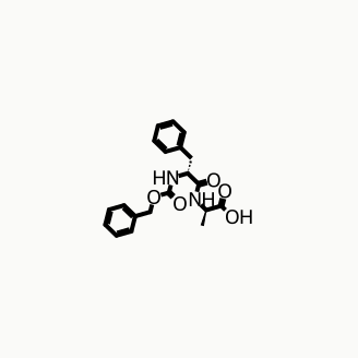 C[C@@H](NC(=O)[C@@H](Cc1ccccc1)NC(=O)OCc1ccccc1)C(=O)O